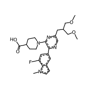 COCC(COC)Cc1cnc(-c2cc(F)c3c(ccn3C)c2)c(N2CCC(C(=O)O)CC2)n1